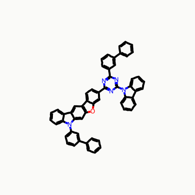 c1ccc(-c2cccc(-c3nc(-c4ccc5c(c4)oc4cc6c(cc45)c4ccccc4n6-c4cccc(-c5ccccc5)c4)nc(-n4c5ccccc5c5ccccc54)n3)c2)cc1